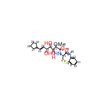 CO[C@@H](C(=O)NC1CSc2ccccc2N(C)C1=O)[C@H](O)[C@@H](O)[C@H](O)/C=C/C1CCCC1